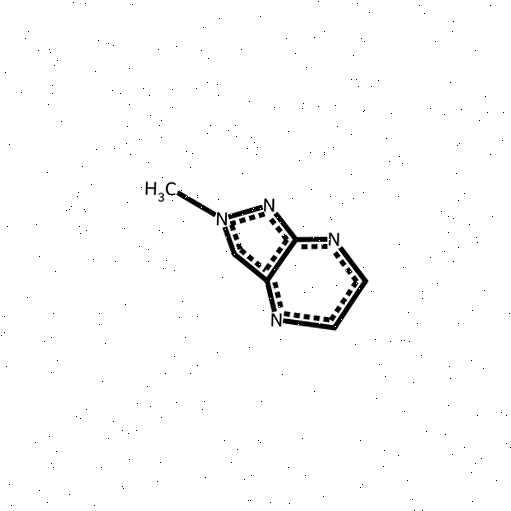 Cn1cc2nccnc2n1